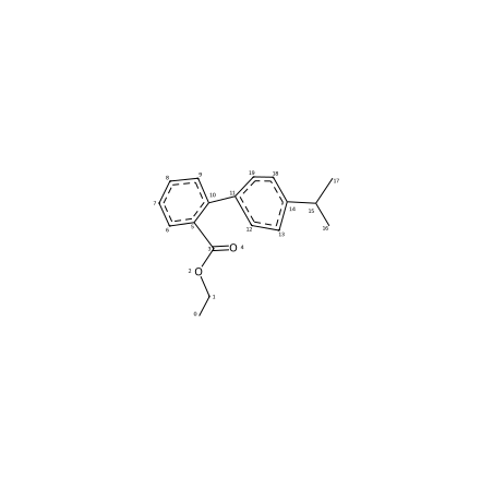 CCOC(=O)c1ccccc1-c1ccc(C(C)C)cc1